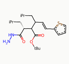 CC(C)CC(C=Cc1cccs1)C(C(=O)OC(C)(C)C)[C@@H](CC(C)C)C(=O)NN